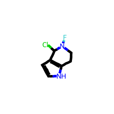 FN1CCc2[nH]ccc2C1Cl